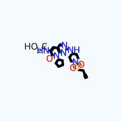 C#CCCS(=O)(=O)N1CCC(Nc2ncc3cc(NC(=O)O)c(=O)n(C4CCCC4)c3n2)CC1